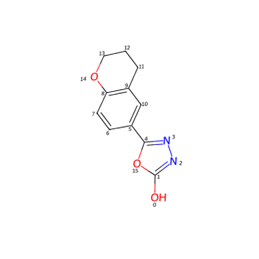 Oc1nnc(-c2ccc3c(c2)CCCO3)o1